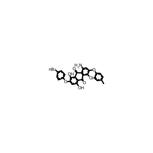 CCCCc1ccc(Oc2cc(O)c3c(c2O)C(=O)c2c(N)cc(Oc4ccc(C)cc4)c(O)c2C3=O)cc1